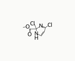 COC(=O)C1(Cl)N=C(Cl)C=CN1